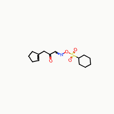 O=C(C=NOS(=O)(=O)C1CCCCC1)CC1=CCCC1